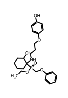 CCOP(=O)(COc1ccccc1)C1(NCCCOc2ccc(O)cc2)CCCCC1O